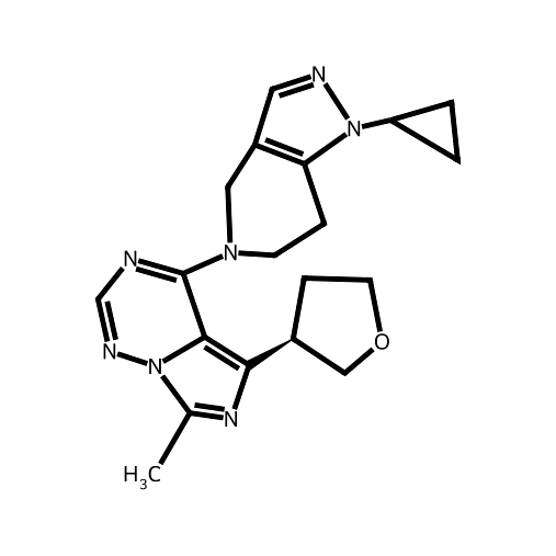 Cc1nc([C@H]2CCOC2)c2c(N3CCc4c(cnn4C4CC4)C3)ncnn12